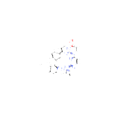 CC(Cc1ccc(C=O)cc1)Nc1nccc(N2CCC(=O)N3CC=C(c4ccccc4)N=C32)n1